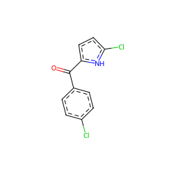 O=C(c1ccc(Cl)cc1)c1ccc(Cl)[nH]1